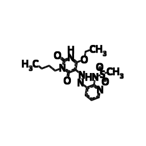 CCCCn1c(=O)[nH]c(OCC)c(/N=N/c2cccnc2NS(C)(=O)=O)c1=O